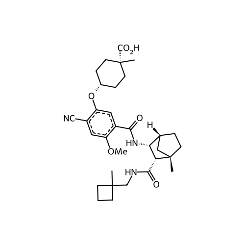 COc1cc(C#N)c(O[C@H]2CC[C@@](C)(C(=O)O)CC2)cc1C(=O)N[C@@H]1[C@@H]2CC[C@@](C)(C2)[C@@H]1C(=O)NCC1(C)CCC1